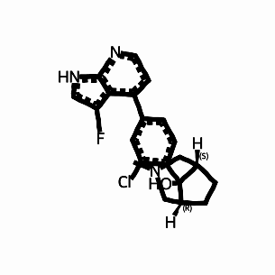 CN1C[C@H]2CC[C@@H](C1)C2(O)c1ccc(-c2ccnc3[nH]cc(F)c23)cc1Cl